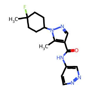 Cc1c(C(=O)Nc2ccnnc2)cnn1C1CCC(C)(F)CC1